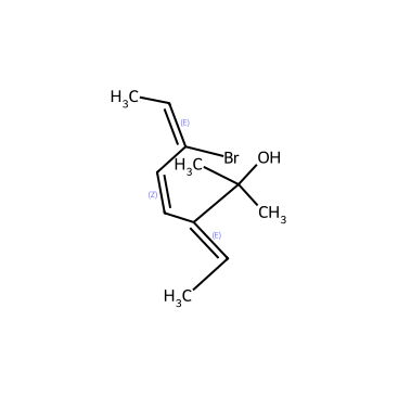 C\C=C(Br)/C=C\C(=C/C)C(C)(C)O